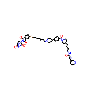 O=C(/C=C/c1cccnc1)NCCCCC1CCN(C(=O)c2ccc(C3CCN(CCCCCCCSc4ccc5c(c4)C(=O)N(C4CCC(=O)NC4=O)C5=O)CC3)cc2)CC1